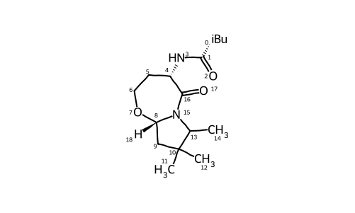 CC[C@@H](C)C(=O)N[C@H]1CCO[C@H]2CC(C)(C)C(C)N2C1=O